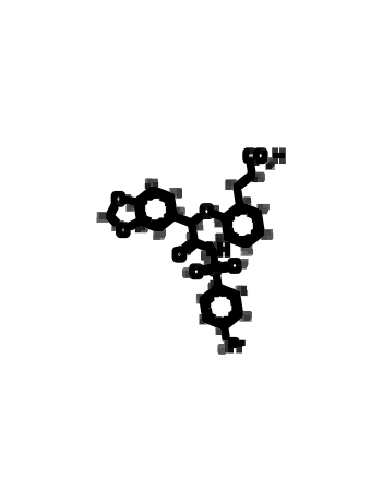 CC(C)c1ccc(S(=O)(=O)NC(=O)C(Oc2ccccc2CCC(=O)O)c2ccc3c(c2)OCO3)cc1